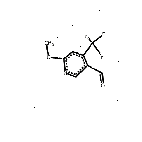 COc1cc(C(F)(F)F)c(C=O)cn1